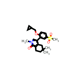 Cn1cc(-c2cc(S(C)(=O)=O)ccc2OCC2CC2)c2c(c1=O)CCC(C)(C)C2